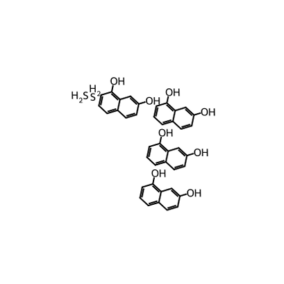 Oc1ccc2cccc(O)c2c1.Oc1ccc2cccc(O)c2c1.Oc1ccc2cccc(O)c2c1.Oc1ccc2cccc(O)c2c1.S.S